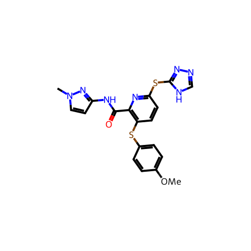 COc1ccc(Sc2ccc(Sc3nnc[nH]3)nc2C(=O)Nc2ccn(C)n2)cc1